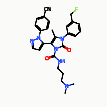 Cc1c(-c2ccnn2-c2ccc(C#N)cc2)n(C(=O)NCCCN(C)C)c(=O)n1-c1cccc(CF)c1